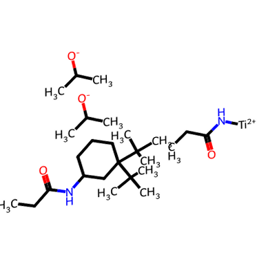 CC(C)[O-].CC(C)[O-].CCC(=O)NC1CCCC(C(C)(C)C)(C(C)(C)C)C1.CCC(=O)[NH][Ti+2]